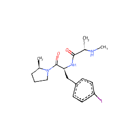 CN[C@@H](C)C(=O)N[C@@H](Cc1ccc(I)cc1)C(=O)N1CCC[C@H]1C